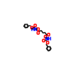 O=C(CCCC(=O)ONC(=O)OCc1ccccc1)ONC(=O)OCc1ccccc1